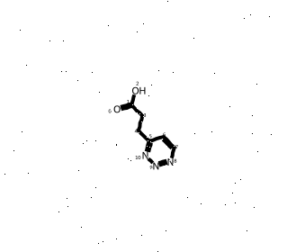 O=C(O)CCc1ccnnn1